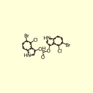 O=[PH](Oc1c[nH]c2ccc(Br)c(Cl)c12)Oc1c[nH]c2ccc(Br)c(Cl)c12